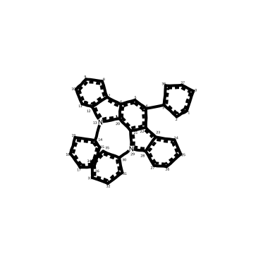 c1ccc(-c2cc3c4ccccc4n(-c4ccccc4)c3c3c2c2ccccc2n3-c2ccccc2)cc1